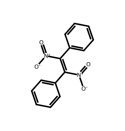 O=[N+]([O-])/C(=C(\c1ccccc1)[N+](=O)[O-])c1ccccc1